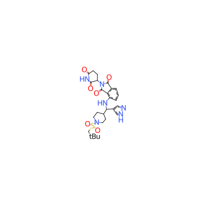 CC(C)(C)CS(=O)(=O)N1CCC(C(Nc2cccc3c2C(=O)N(C2CCC(=O)NC2=O)C3=O)c2cn[nH]c2)CC1